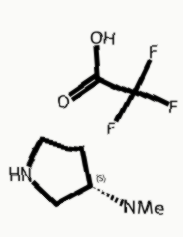 CN[C@H]1CCNC1.O=C(O)C(F)(F)F